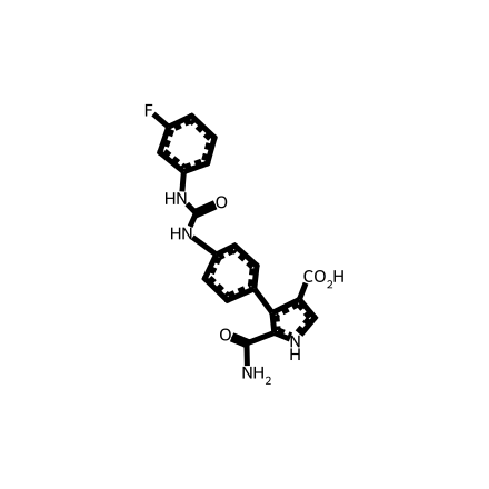 NC(=O)c1[nH]cc(C(=O)O)c1-c1ccc(NC(=O)Nc2cccc(F)c2)cc1